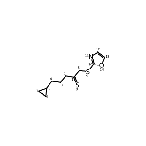 S=C(CCCC1CC1)CSc1ncco1